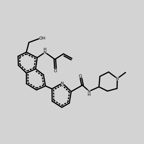 C=CC(=O)Nc1c(CO)ccc2ccc(-c3cccc(C(=O)NC4CCN(C)CC4)n3)cc12